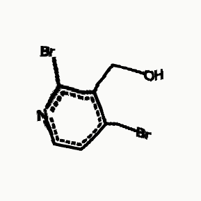 OCc1c(Br)ccnc1Br